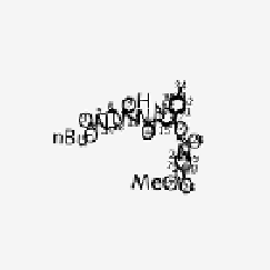 CCCCOC(=O)N1CCN(C(=O)CNC(=O)c2cc(OCC(=O)N3CCN(C(=O)OC)CC3)c3ccc(C)cc3n2)CC1